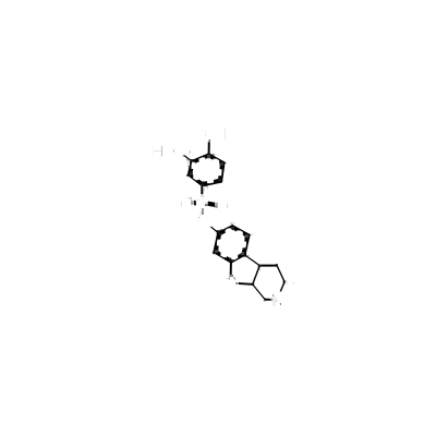 Cc1ccc(S(=O)(=O)Oc2ccc3c(c2)OC2CNCCC32)cc1C